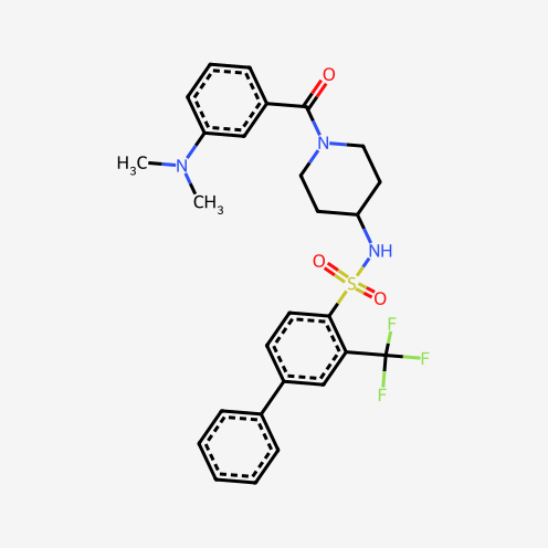 CN(C)c1cccc(C(=O)N2CCC(NS(=O)(=O)c3ccc(-c4ccccc4)cc3C(F)(F)F)CC2)c1